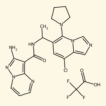 CC(NC(=O)c1c(N)nn2cccnc12)c1cc(Cl)c2cncn2c1N1CCCC1.O=C(O)C(F)(F)F